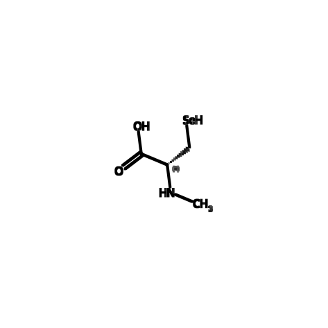 CN[C@@H](C[SeH])C(=O)O